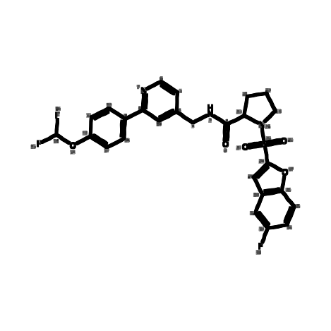 O=C(NCc1ccnc(-c2ccc(OC(F)F)cc2)c1)C1CCCN1S(=O)(=O)c1cc2cc(F)ccc2o1